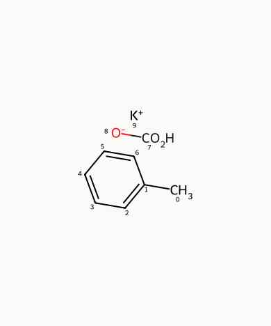 Cc1ccccc1.O=C([O-])O.[K+]